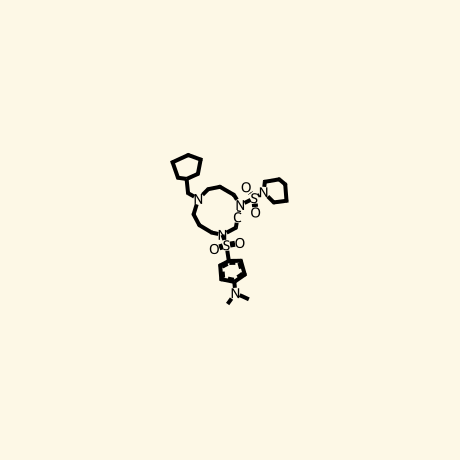 CN(C)c1ccc(S(=O)(=O)N2CCCN(CC3CCCCC3)CCCN(S(=O)(=O)N3CCCCC3)CC2)cc1